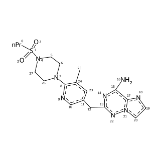 CCCS(=O)(=O)N1CCN(c2ncc(Cc3nc(N)c4nccn4n3)cc2C)CC1